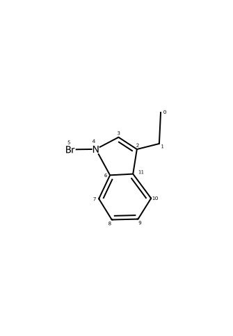 CCc1cn(Br)c2ccccc12